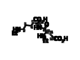 CCNCCCC[C@H](NC(=O)[C@H](CCC(=O)O)NCC)C(=O)O